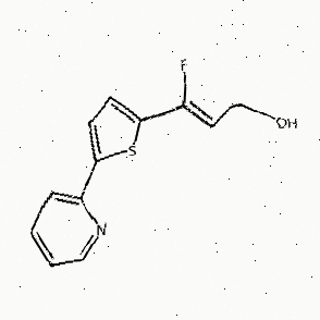 OCC=C(F)c1ccc(-c2ccccn2)s1